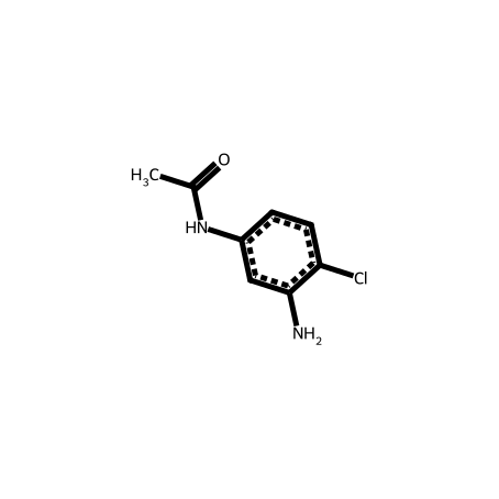 CC(=O)Nc1ccc(Cl)c(N)c1